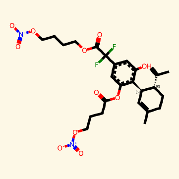 C=C(C)[C@@H]1CCC(C)=C[C@H]1c1c(O)cc(C(F)(F)C(=O)OCCCCO[N+](=O)[O-])cc1OC(=O)CCCO[N+](=O)[O-]